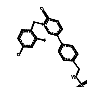 CS(=O)(=O)NCc1ccc(-c2ccc(=O)n(Cc3ccc(Cl)cc3F)c2)cc1